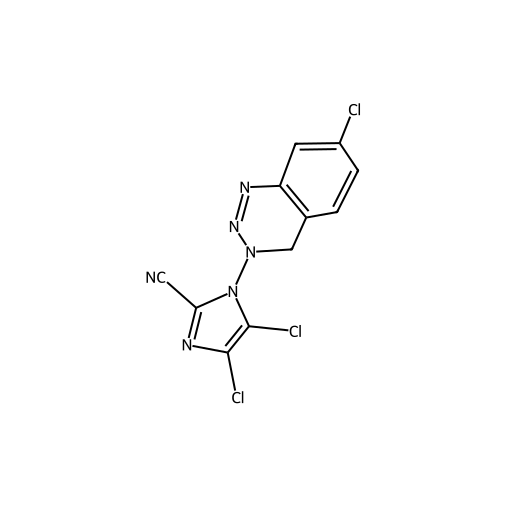 N#Cc1nc(Cl)c(Cl)n1N1Cc2ccc(Cl)cc2N=N1